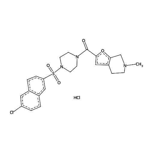 CN1CCc2cc(C(=O)N3CCN(S(=O)(=O)c4ccc5cc(Cl)ccc5c4)CC3)oc2C1.Cl